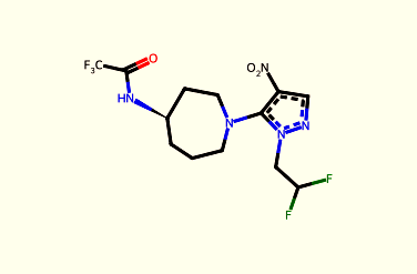 O=C(N[C@@H]1CCCN(c2c([N+](=O)[O-])cnn2CC(F)F)CC1)C(F)(F)F